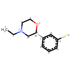 CCN1CCO[C@H](c2cccc(F)c2)C1